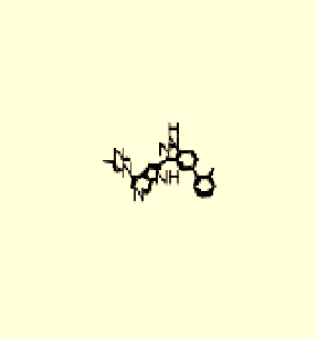 Cc1cn(-c2cncc3[nH]c(-c4n[nH]c5ccc(-c6cc#ccc6C)cc45)cc23)cn1